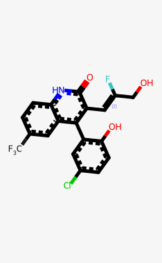 O=c1[nH]c2ccc(C(F)(F)F)cc2c(-c2cc(Cl)ccc2O)c1/C=C(\F)CO